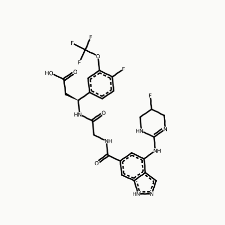 O=C(O)C[C@H](NC(=O)CNC(=O)c1cc(NC2=NCC(F)CN2)c2cn[nH]c2c1)c1ccc(F)c(OC(F)(F)F)c1